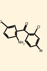 Nc1ccc(Cl)cc1C(=O)c1ccc(Br)cc1Cl